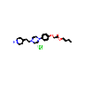 CCCCOC(=O)COc1ccc(N2CCN(CCC3CCNCC3)CC2)cc1.Cl.Cl